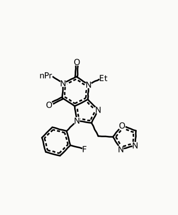 CCCn1c(=O)c2c(nc(Cc3nnco3)n2-c2ccccc2F)n(CC)c1=O